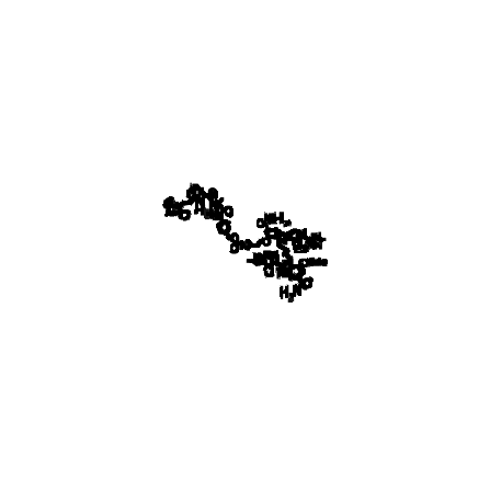 CCn1nc(C)cc1C(=O)Nc1nc2cc(C(N)=O)cc(OC)c2n1C/C=C/Cn1c2nc(-c3nc(C)nn3CC)ncc2c2cc(C(N)=O)cc(OCCC3CN(C(=O)OCc4ccc(NC(=O)[C@H](C)NC(=O)[C@@H](NC(=O)CCN5C(=O)C=CC5=O)C(C)C)cc4)C3)c21